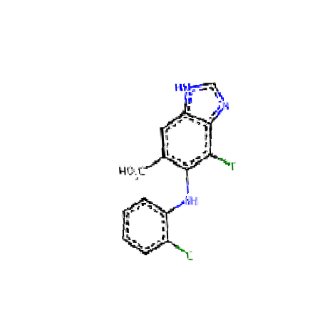 O=C(O)c1cc2[nH]cnc2c(F)c1Nc1ccccc1Cl